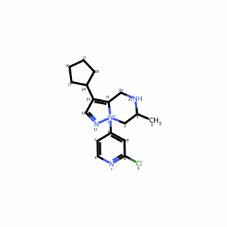 CC1C[N+]2(c3ccnc(Cl)c3)N=CC(C3CCCC3)=C2CN1